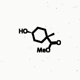 COC(=O)[C@]1(C)CC[C@H](O)CC1